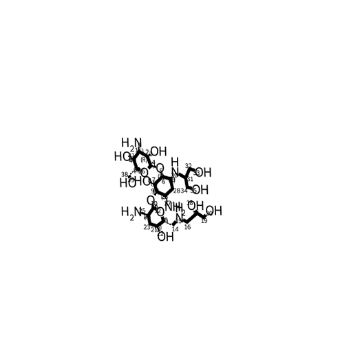 N[C@@H]1[C@@H](O)[C@@H](O[C@@H]2[C@@H](O)[C@H](O[C@H]3O[C@H](CNCC(O)CO)[C@@H](O)C[C@H]3N)[C@@H](N)C[C@H]2NC(CO)CO)O[C@H](CO)[C@H]1O